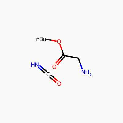 CCCCOC(=O)CN.N=C=O